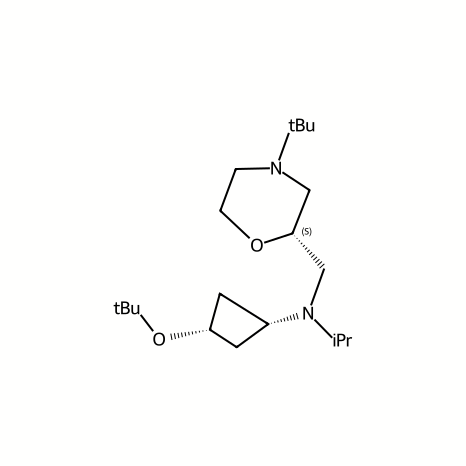 CC(C)N(C[C@H]1CN(C(C)(C)C)CCO1)[C@H]1C[C@@H](OC(C)(C)C)C1